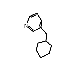 [CH](c1cccnc1)C1CCCCC1